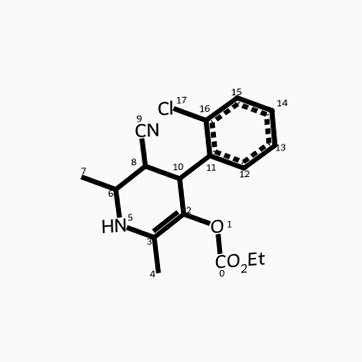 CCOC(=O)OC1=C(C)NC(C)C(C#N)C1c1ccccc1Cl